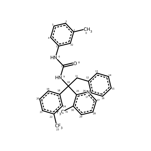 Cc1cccc(NC(=O)NC(Cc2ccccc2)(c2cccc(C(F)(F)F)c2)c2ncccc2C(F)(F)F)c1